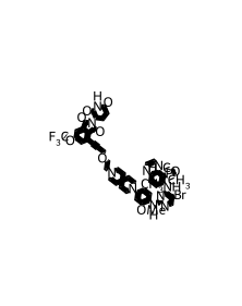 COc1cc(N2CCC3(CCN(CCOCC#Cc4cc(OC(F)(F)F)cc5c4C(=O)N(C4CCC(=O)NC4=O)C5=O)CC3)CC2)c(C)cc1Nc1ncc(Br)c(Nc2ccc3nccnc3c2P(C)(C)=O)n1